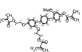 C=C(C)C(=O)OCCOc1ccc(-c2ccc(-c3ccc(OC(=O)C(=C)C)cc3OC)cc2)c(OCCOC(=O)C(=C)C)c1